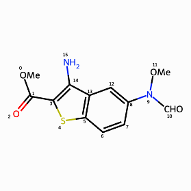 COC(=O)c1sc2ccc(N(C=O)OC)cc2c1N